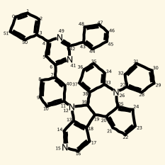 c1ccc(-c2cc(-c3cccc(N4c5cnccc5C5c6ccccc6N(c6ccccc6)c6ccccc6C54)c3)nc(-c3ccccc3)n2)cc1